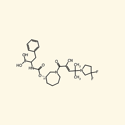 CC(C)(C=C(C#N)C(=O)N1CCCC[C@H](OC(=O)NC(Cc2ccccc2)B(O)O)C1)N1CCC(F)(F)C1